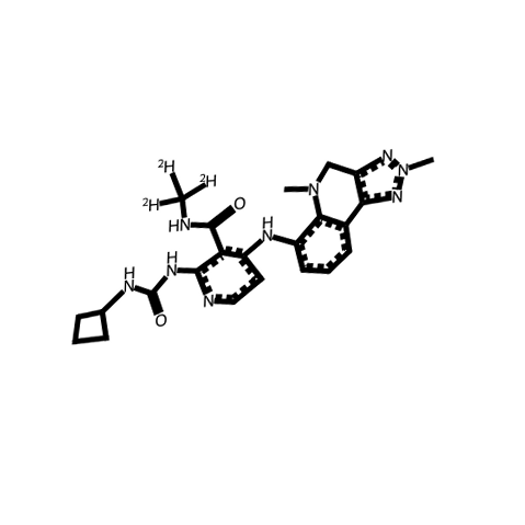 [2H]C([2H])([2H])NC(=O)c1c(Nc2cccc3c2N(C)Cc2nn(C)nc2-3)ccnc1NC(=O)NC1CCC1